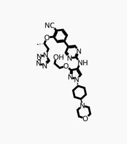 C[C@@H](Cn1cnnn1)Oc1cc(-c2cnc(Nc3cn([C@H]4CC[C@H](N5CCOCC5)CC4)nc3OCCO)nc2)ccc1C#N